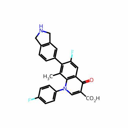 Cc1c(-c2ccc3c(c2)CNC3)c(F)cc2c(=O)c(C(=O)O)cn(-c3ccc(F)cc3)c12